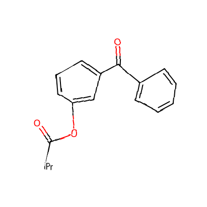 CC(C)C(=O)Oc1cccc(C(=O)c2ccccc2)c1